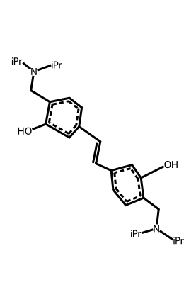 CC(C)N(Cc1ccc(C=Cc2ccc(CN(C(C)C)C(C)C)c(O)c2)cc1O)C(C)C